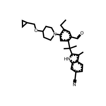 CCc1cc(C=O)c(C(C)(C)c2[nH]c3cc(C#N)ccc3c2C)cc1N1CCC(OCC2CC2)CC1